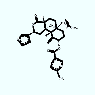 COC(=O)[C@@H]1C[C@H](OC(=O)c2cnc(C)nc2)C(=O)[C@H]2[C@@]1(C)CC[C@H]1C(=O)O[C@H](c3ccoc3)C[C@]21C